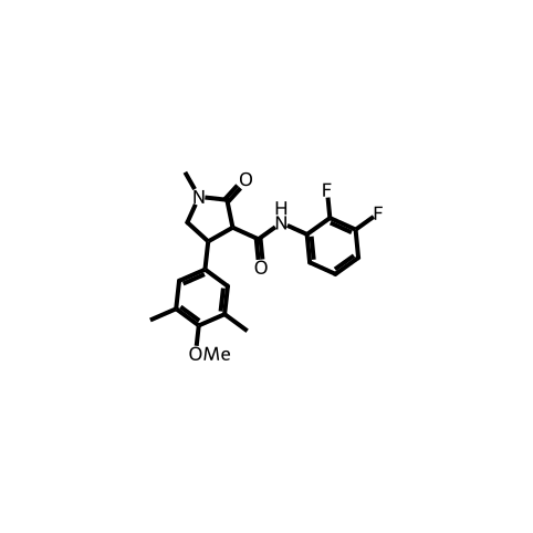 COc1c(C)cc(C2CN(C)C(=O)C2C(=O)Nc2cccc(F)c2F)cc1C